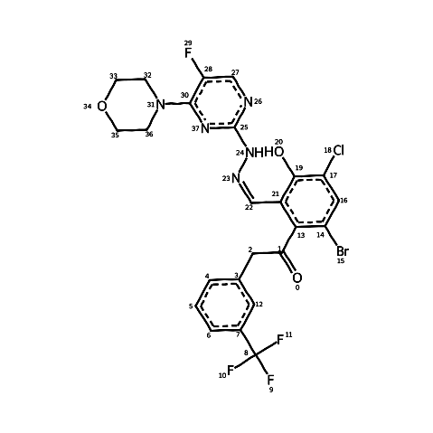 O=C(Cc1cccc(C(F)(F)F)c1)c1c(Br)cc(Cl)c(O)c1/C=N\Nc1ncc(F)c(N2CCOCC2)n1